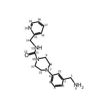 NCc1cccc(N2CCN(C(=O)NCc3ccccn3)CC2)c1